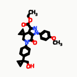 CCOC(=O)c1nn(-c2ccc(OC)cc2)c2c1C1(CC1)CN(c1ccc(C3(CO)CC3)cc1)C2=O